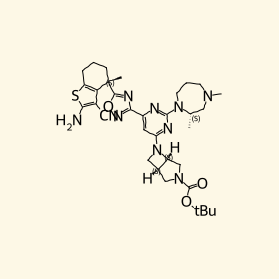 C[C@H]1CN(C)CCCN1c1nc(-c2noc([C@@]3(C)CCCc4sc(N)c(C#N)c43)n2)cc(N2C[C@H]3CN(C(=O)OC(C)(C)C)C[C@H]32)n1